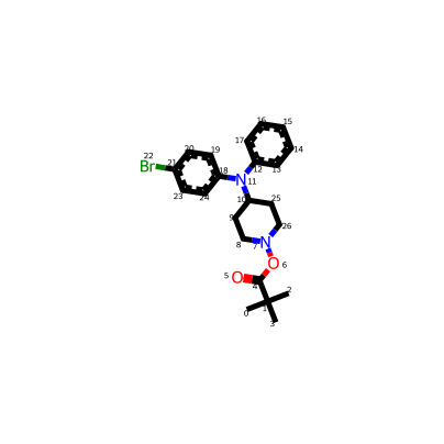 CC(C)(C)C(=O)ON1CCC(N(c2ccccc2)c2ccc(Br)cc2)CC1